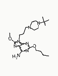 CCCCOc1nc(N)c2nc(OC)n(CCCN3CCN(C(C)(C)C)CC3)c2n1